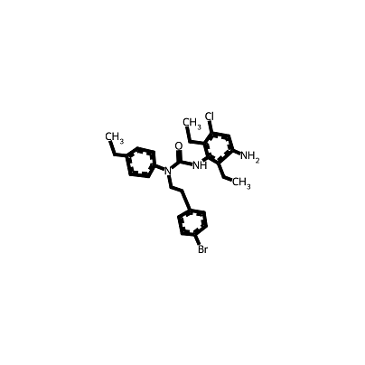 CCc1ccc(N(CCc2ccc(Br)cc2)C(=O)Nc2c(CC)c(N)cc(Cl)c2CC)cc1